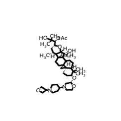 CC(=O)O[C@@H]([C@H]1C[C@@H](C)[C@H]2[C@H](O1)[C@H](O)[C@@]1(C)[C@@H]3CC[C@H]4C(C)(C)[C@@H](O[C@H]5CN(C6CCN(C7COC7)CC6)CCO5)CC[C@@]45C[C@@]35CC[C@]21C)C(C)(C)O